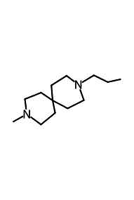 CCCN1CCC2(CCN(C)CC2)CC1